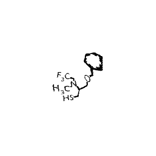 CN(CC(F)(F)F)[C@H](CS)COCc1ccccc1